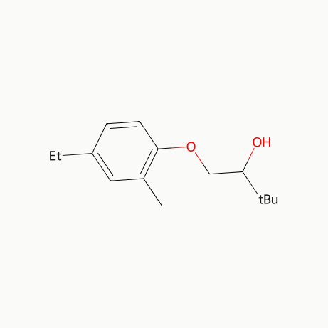 CCc1ccc(OCC(O)C(C)(C)C)c(C)c1